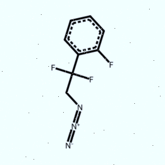 [N-]=[N+]=NCC(F)(F)c1ccccc1F